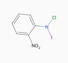 O=[N+]([O-])c1ccccc1N(Cl)I